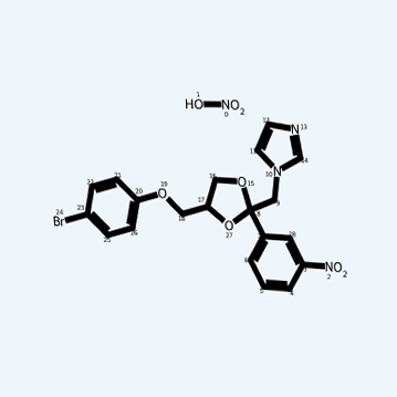 O=[N+]([O-])O.O=[N+]([O-])c1cccc(C2(Cn3ccnc3)OCC(COc3ccc(Br)cc3)O2)c1